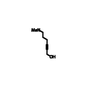 CNCCCC#CCO